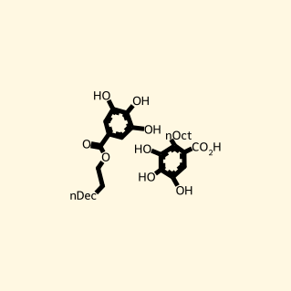 CCCCCCCCCCCCOC(=O)c1cc(O)c(O)c(O)c1.CCCCCCCCc1c(C(=O)O)cc(O)c(O)c1O